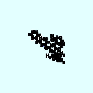 C[C@@H]1COC[C@H]2COc3c(nc(O/C(C=N)=C/NCc4ccccc4)nc3C(C)(C)S(C)(=O)=O)N21